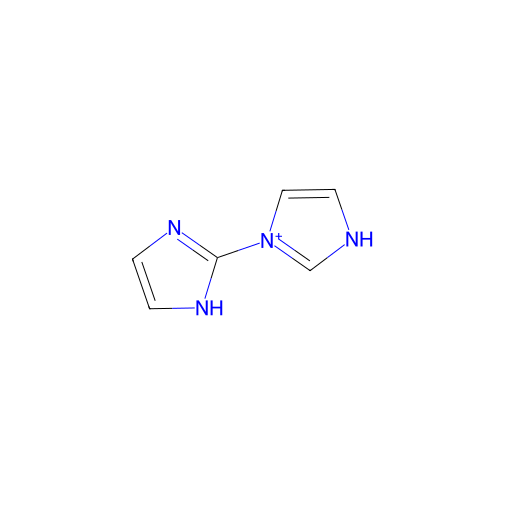 c1c[nH]c(-[n+]2cc[nH]c2)n1